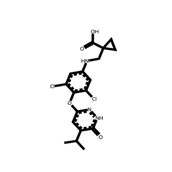 CC(C)c1cc(Oc2c(Cl)cc(NCC3(C(=O)O)CC3)cc2Cl)n[nH]c1=O